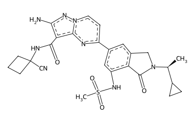 C[C@@H](C1CC1)N1Cc2cc(-c3ccn4nc(N)c(C(=O)NC5(C#N)CCC5)c4n3)cc(NS(C)(=O)=O)c2C1=O